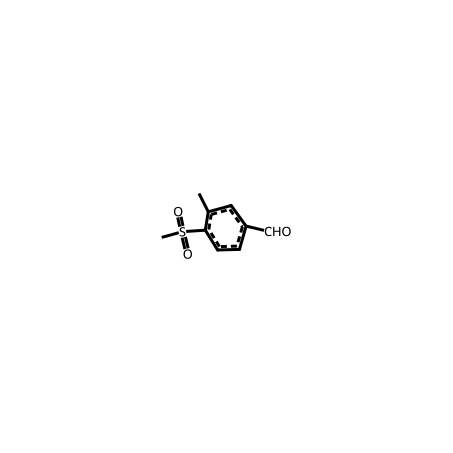 Cc1cc(C=O)ccc1S(C)(=O)=O